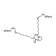 CCCCC/C=C\C/C=C\CCCCCCCCOC(=O)[C@@H]1CCCN1C(=O)CCCCCCC/C=C\C/C=C\CCCCC